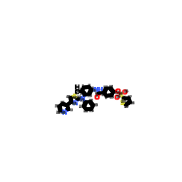 Cc1ccc(NC(=O)c2ccc(OS(=O)(=O)c3cccs3)cc2)cc1N(c1ccccc1)c1nc(-c2cccnc2)cs1